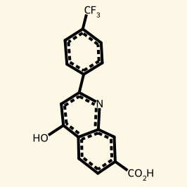 O=C(O)c1ccc2c(O)cc(-c3ccc(C(F)(F)F)cc3)nc2c1